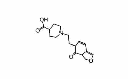 O=C(O)C1CCN(CCC2C=CC3=COCC3C2=O)CC1